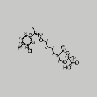 CC(=NOCCCCC1COC(C)(C(=O)O)OC1C)c1ccc(F)c(Cl)c1